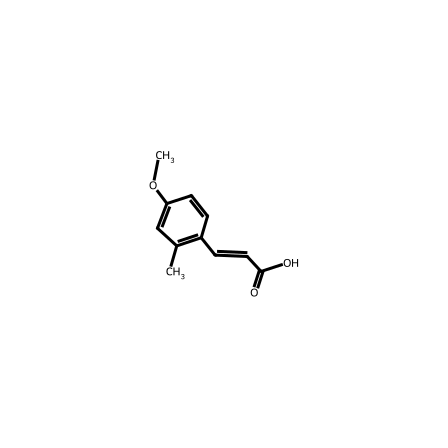 COc1ccc(C=CC(=O)O)c(C)c1